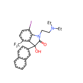 CCN(CC)CCN1C(=O)C(O)(c2ccc3ccccc3c2)c2c(C(F)(F)F)ccc(I)c21